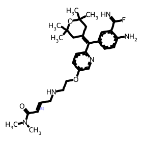 CN(C)C(=O)/C=C/CNCCOc1ccc(C(=C2CC(C)(C)OC(C)(C)C2)c2ccc(N)c(C(=N)F)c2)nc1